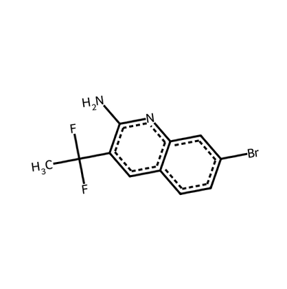 CC(F)(F)c1cc2ccc(Br)cc2nc1N